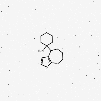 NC1(C2CCCCc3sccc32)CCCCC1